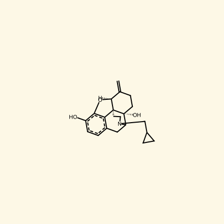 C=C1CC[C@@]2(O)C3Cc4ccc(O)c5c4[C@@]2(CCN3CC2CC2)[C@H]1O5